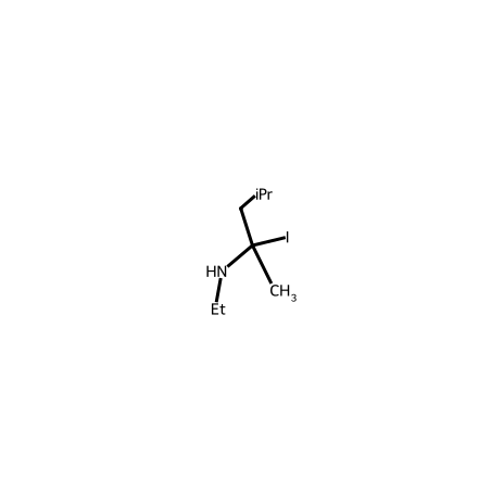 CCNC(C)(I)CC(C)C